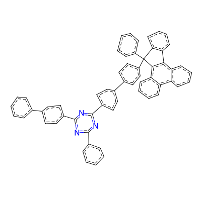 c1ccc(-c2ccc(-c3nc(-c4ccccc4)nc(-c4ccc(-c5ccc(C6(c7ccccc7)c7ccccc7-c7c6c6ccccc6c6ccccc76)cc5)cc4)n3)cc2)cc1